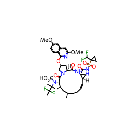 COc1ccc2c(O[C@@H]3C[C@H]4C(=O)N[C@]5(C(=O)NS(=O)(=O)C6(C(F)F)CC6)C[C@H]5/C=C\CC[C@@H](C)C[C@@H](C)[C@H](N(C(=O)O)C(C)(C)C(C)(F)F)C(=O)N4C3)nc(OC)cc2c1